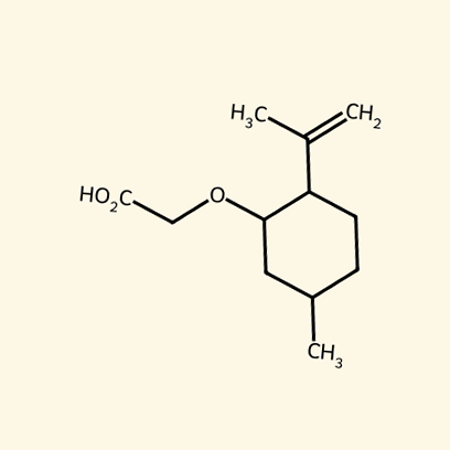 C=C(C)C1CCC(C)CC1OCC(=O)O